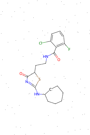 O=C(NCCC1SC(NC2CCCCCC2)=NC1=O)c1c(F)cccc1Cl